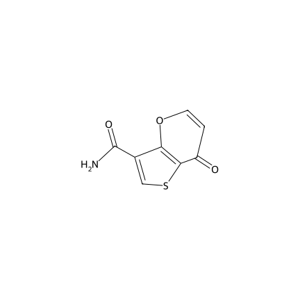 NC(=O)c1csc2c(=O)ccoc12